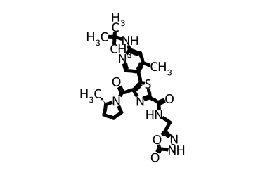 Cc1cc(NC(C)(C)C)ncc1-c1sc(C(=O)NCc2n[nH]c(=O)o2)nc1C(=O)N1CCC[C@@H]1C